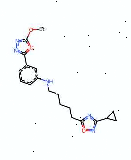 CCOc1nnc(-c2cccc(NCCCCCc3nc(C4CC4)no3)c2)o1